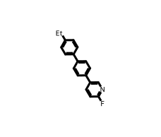 CCc1ccc(-c2ccc(-c3ccc(F)nc3)cc2)cc1